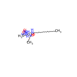 CCCCCCCCCCCCCCCCCCCCCC(=O)NC(CCCNC(=N)N[N+](=O)[O-])C(=O)N(CCCCCCC)CCCCCCC